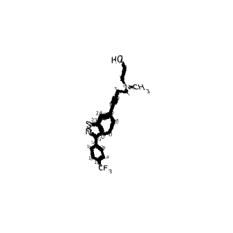 CN(CCO)CCC#Cc1ccc2c(-c3ccc(C(F)(F)F)cc3)nsc2c1